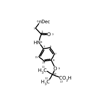 CCCCCCCCCCCC(=O)Nc1ccc(OC(C)(C)C(=O)O)cc1